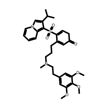 COc1cc(CCN(C)CCCC2=CC(=O)CC=C2S(=O)(=O)c2c(C(C)C)cn3ccccc23)cc(OC)c1OC